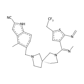 C=Nc1sc(CC(F)(F)F)cc1/C(=N\C)N1CC[C@@]2(CCN(Cc3ccc4[nH]c(C#N)cc4c3C)C2)C1